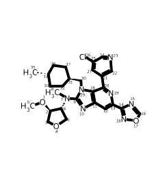 CO[C@@H]1COC[C@H]1N(C)c1nc2cc(-c3ncon3)nc(-c3cncc(Cl)c3)c2n1C[C@H]1CC[C@H](C)CC1